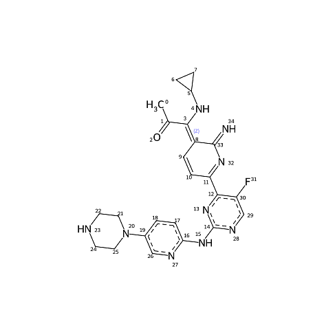 CC(=O)/C(NC1CC1)=C1\C=CC(c2nc(Nc3ccc(N4CCNCC4)cn3)ncc2F)=NC1=N